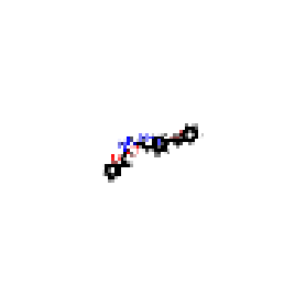 Cc1c(-c2nnc([C@@H](N)Cc3ccc(-c4cc5ccccc5o4)cc3)o2)oc2ccccc12